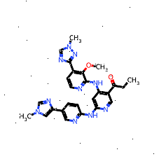 CCC(=O)c1cnc(Nc2ccc(-c3cn(C)cn3)cn2)cc1Nc1nccc(-c2ncn(C)n2)c1OC